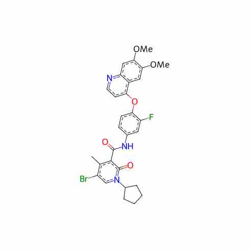 COc1cc2nccc(Oc3ccc(NC(=O)c4c(C)c(Br)cn(C5CCCC5)c4=O)cc3F)c2cc1OC